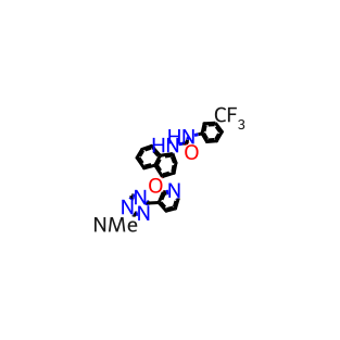 CNc1ncnc(-c2cccnc2Oc2ccc(NC(=O)Nc3cccc(C(F)(F)F)c3)c3ccccc23)n1